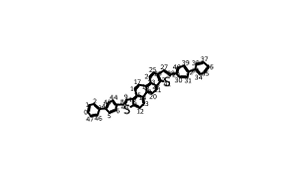 c1ccc(-c2ccc(-c3cc4c(ccc5c4ccc4c5ccc5c4ccc4cc(-c6ccc(-c7ccccc7)cc6)sc45)s3)cc2)cc1